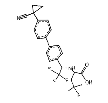 CC(C)(F)CC(N[C@@H](c1ccc(-c2ccc(C3(C#N)CC3)cc2)cc1)C(F)(F)F)C(=O)O